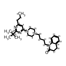 CCCc1cc(N2CCN(CCCCN3C(=O)CCc4ccccc43)CC2)nc(C(C)(C)C)n1